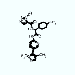 CCn1nncc1C(=O)N[C@H](C(=O)Nc1ccc(-c2c(C)cnn2C)cn1)C1CCC(C)CC1